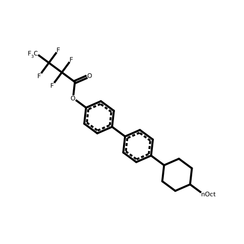 CCCCCCCCC1CCC(c2ccc(-c3ccc(OC(=O)C(F)(F)C(F)(F)C(F)(F)F)cc3)cc2)CC1